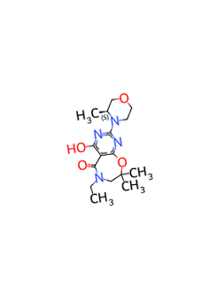 CCN1CC(C)(C)Oc2nc(N3CCOC[C@@H]3C)nc(O)c2C1=O